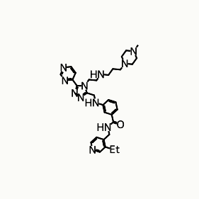 CCc1cnccc1CNC(=O)c1cccc(NCc2nnc(-c3ccncn3)n2CCNCCCN2CCN(C)CC2)c1